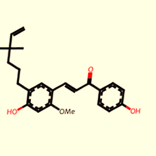 C=CC(C)(C)CCCc1cc(C=CC(=O)c2ccc(O)cc2)c(OC)cc1O